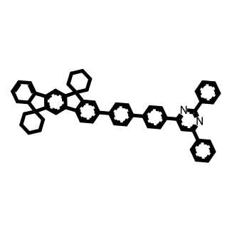 C1=CCC2C(=C1)c1cc3c(cc1C21CCCCC1)-c1ccc(-c2ccc(-c4ccc(-c5cc(-c6ccccc6)nc(-c6ccccc6)n5)cc4)cc2)cc1C31CCCCC1